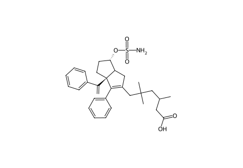 C=C(c1ccccc1)[C@@]12CC[C@H](OS(N)(=O)=O)C1CC(CC(C)(C)CC(C)CC(=O)O)=C2c1ccccc1